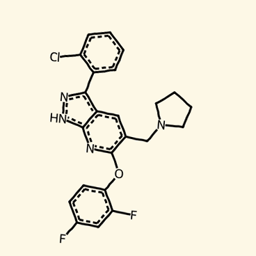 Fc1ccc(Oc2nc3[nH]nc(-c4ccccc4Cl)c3cc2CN2CCCC2)c(F)c1